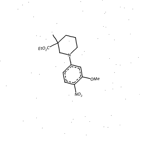 CCOC(=O)C1(C)CCCN(c2ccc([N+](=O)[O-])c(OC)c2)C1